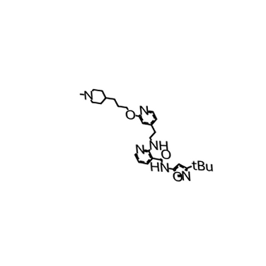 CN1CCC(CCCOc2cc(CCNc3ncccc3C(=O)Nc3cc(C(C)(C)C)no3)ccn2)CC1